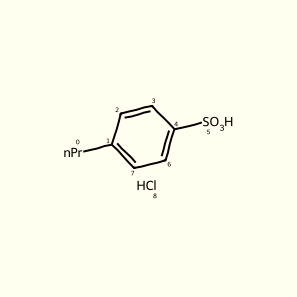 CCCc1ccc(S(=O)(=O)O)cc1.Cl